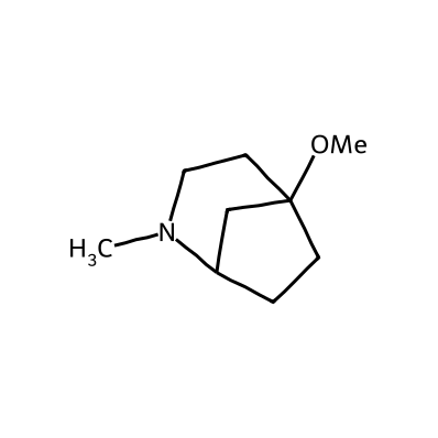 COC12CCC(C1)N(C)CC2